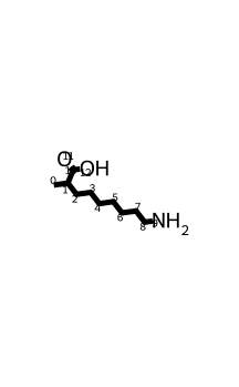 CC(CCCCCCCN)C(=O)O